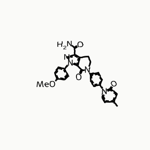 COc1ccc(-n2nc(C(N)=O)c3c2C(=O)N(c2ccc(-n4ccc(C)cc4=O)cc2)CC3)cc1